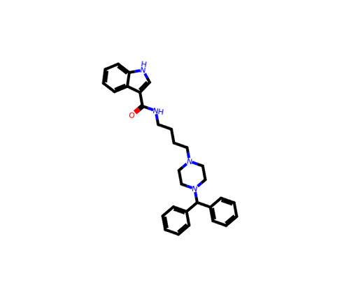 O=C(NCCCCN1CCN(C(c2ccccc2)c2ccccc2)CC1)c1c[nH]c2ccccc12